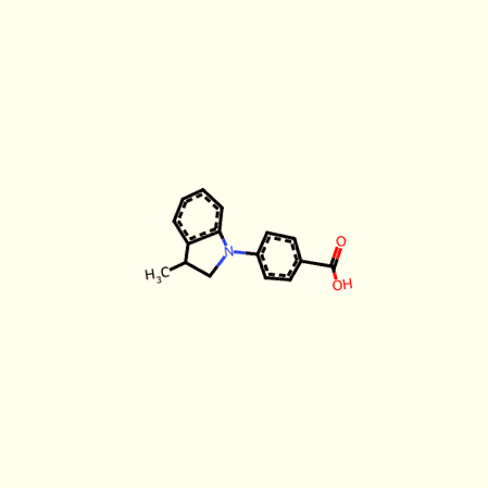 CC1CN(c2ccc(C(=O)O)cc2)c2ccccc21